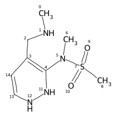 CNCC1=C(N(C)S(C)(=O)=O)NNC=C1